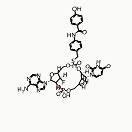 Nc1ncnc2c1ncn2[C@@H]1O[C@@H]2COP(=O)(SCc3ccc(NC(=O)c4ccc(O)cc4)cc3)O[C@@H]3[C@H](F)[C@@H](COP(=O)(O)O[C@@H]1[C@@H]2F)O[C@H]3n1ccc(=O)[nH]c1=O